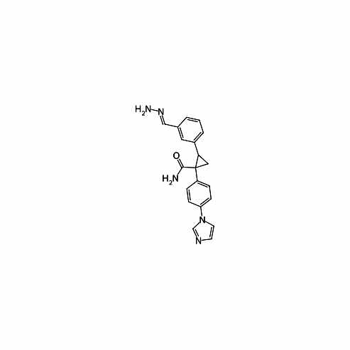 NN=Cc1cccc(C2CC2(C(N)=O)c2ccc(-n3ccnc3)cc2)c1